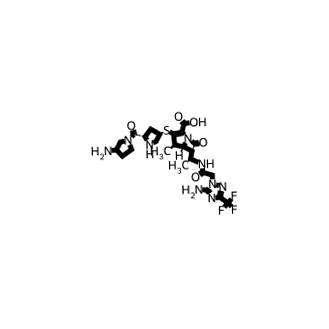 C[C@@H](NC(=O)Cn1nc(C(F)(F)F)nc1N)[C@H]1C(=O)N2C(C(=O)O)=C(S[C@@H]3CN[C@H](C(=O)N4CCC(N)C4)C3)[C@H](C)[C@H]12